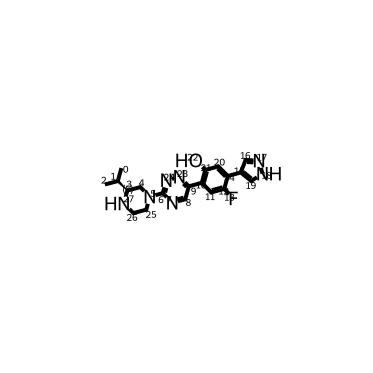 CC(C)[C@H]1CN(c2ncc(-c3cc(F)c(-c4cn[nH]c4)cc3O)nn2)CCN1